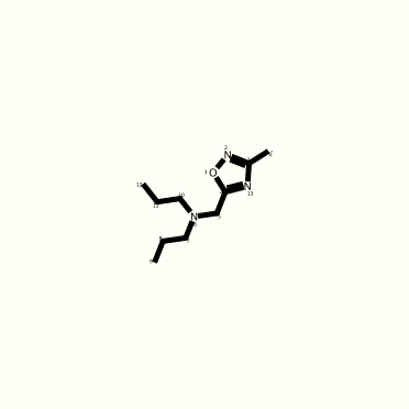 [CH2]c1noc(CN(CCC)CCC)n1